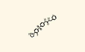 O=C(NCc1cccnc1)Nc1ccc(S(=O)(=O)c2ccc(N3CCCN3)c(F)c2)cc1